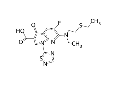 CCSCCN(CC)c1nc2c(cc1F)c(=O)c(C(=O)O)cn2-c1ncns1